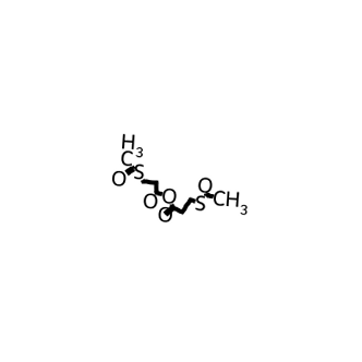 CC(=O)SCCC(=O)OC(=O)CCSC(C)=O